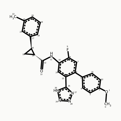 COc1ccc(-c2cc(F)c(NC(=O)[C@@H]3C[C@H]3c3cccc(C)c3)cc2-c2nnn[nH]2)cc1